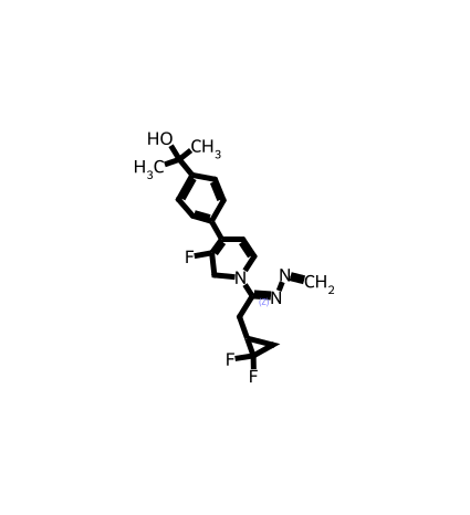 C=N/N=C(/CC1CC1(F)F)N1C=CC(c2ccc(C(C)(C)O)cc2)=C(F)C1